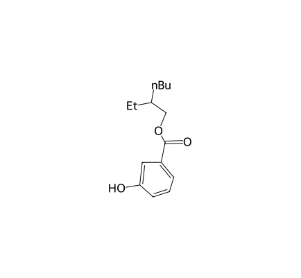 CCCCC(CC)COC(=O)c1cccc(O)c1